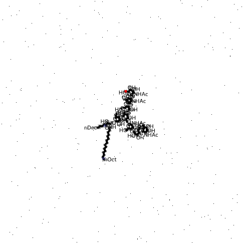 CCCCCCCC/C=C\CCCCCCCCCCCCCC(=O)N[C@@H](CO[C@@H]1OC(CO)[C@@H](O[C@@H]2OC(CO[C@@H]3OC(CO)[C@@H](O[C@@H]4OC(CO)[C@H](O[C@@H]5OC(CO)[C@H](O)[C@H](O)C5NC(C)=O)[C@H](O)C4O)[C@H](O)C3NC(C)=O)[C@H](O)[C@H](O[C@H]3OC(CO)[C@H](O)[C@H](O[C@@H]4OC(CO)[C@H](O)[C@H](O[C@H]5OC(CO)[C@H](O)[C@H](O)C5NC(C)=O)C4NC(C)=O)C3O)C2O)[C@H](O)C1O)[C@H](O)/C=C/CCCCCCCCCCCCC